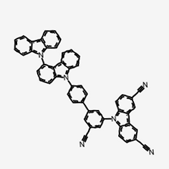 N#Cc1cc(-c2ccc(-n3c4ccccc4c4c(-n5c6ccccc6c6ccccc65)cccc43)cc2)cc(-n2c3ccc(C#N)cc3c3cc(C#N)ccc32)c1